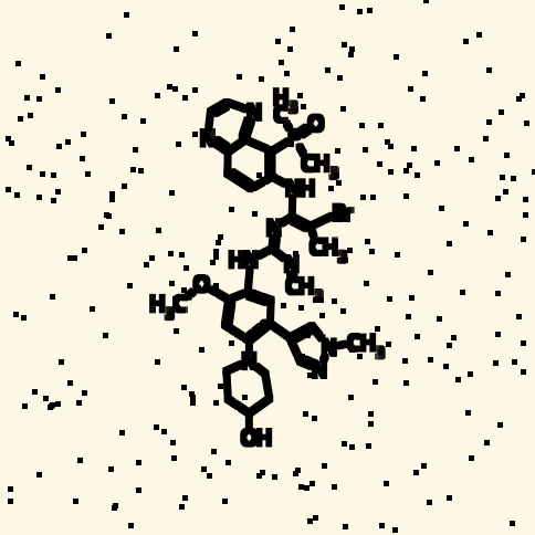 C=N/C(=N\C(Nc1ccc2nccnc2c1P(C)(C)=O)=C(/C)Br)Nc1cc(-c2cnn(C)c2)c(N2CCC(O)CC2)cc1OC